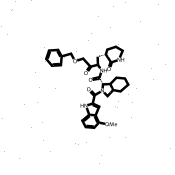 COc1cccc2[nH]c(C(=O)N3CC4CCCCC4[C@H]3C(=O)NC(C[C@@H]3CCCNC3=O)C(=O)COCc3ccccc3)cc12